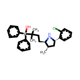 C[C@H]1C[C@@H](c2ccccc2Cl)N[C@@H]1CCC(C)(C)[Si](O)(c1ccccc1)c1ccccc1